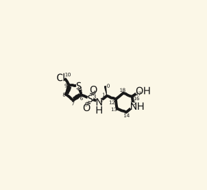 C[C@H](NS(=O)(=O)c1ccc(Cl)s1)C1CCNC(O)C1